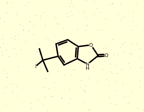 CC(C)(I)c1ccc2oc(=O)[nH]c2c1